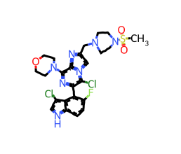 CS(=O)(=O)N1CCN(Cc2cn3c(Cl)c(-c4c(F)ccc5[nH]cc(Cl)c45)nc(N4CCOCC4)c3n2)CC1